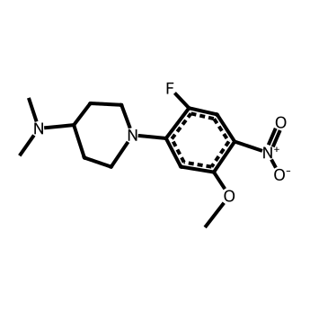 COc1cc(N2CCC(N(C)C)CC2)c(F)cc1[N+](=O)[O-]